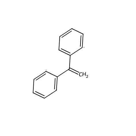 C=C(c1[c]cccc1)c1[c]cccc1